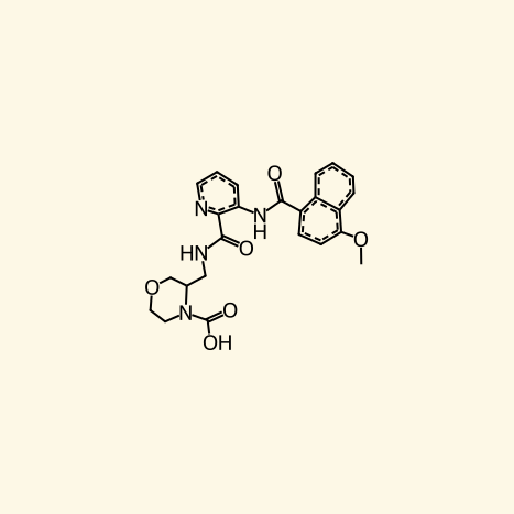 COc1ccc(C(=O)Nc2cccnc2C(=O)NCC2COCCN2C(=O)O)c2ccccc12